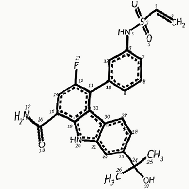 C=CS(=O)(=O)Nc1cccc(-c2c(F)cc(C(N)=O)c3[nH]c4cc(C(C)(C)O)ccc4c23)c1